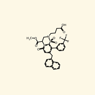 COC(=O)C1CN(CCCC(=O)O)S(=O)(=O)c2c(-c3cccc(C(F)(F)F)c3)c(Cc3cccc4ccccc34)cc(=O)n21